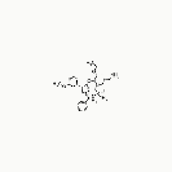 CCOCC(=O)N(C[C@@H](F)CN)[C@@H](c1nc(-c2cccc(OC)c2)cn1Cc1ccccc1)C(C)(C)C